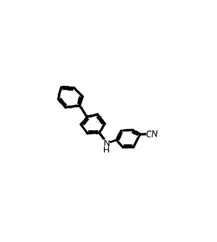 N#Cc1ccc(Nc2ccc(-c3ccccc3)cc2)cc1